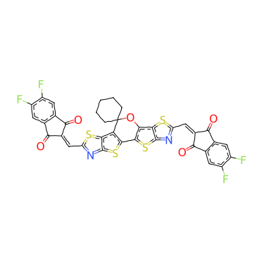 O=C1C(=Cc2nc3sc4c(c3s2)OC2(CCCCC2)c2c-4sc3nc(C=C4C(=O)c5cc(F)c(F)cc5C4=O)sc23)C(=O)c2cc(F)c(F)cc21